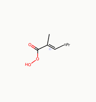 CCC/C=C(\C)C(=O)OO